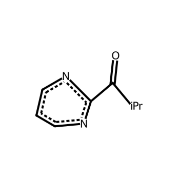 CC(C)C(=O)c1ncccn1